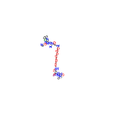 CC[C@@H]1C(=O)N(C)c2cnc(Nc3ccc(C(=O)NCCOCCOCCOCCOCCOCCOCCN(C)C/C=C/C(=O)N4CCN(c5nc(OC[C@@H]6CCCN6C)nc6c5CCN(c5cccc7cccc(Cl)c57)C6)C[C@@H]4CC#N)cc3OC)nc2N1C1CCCC1